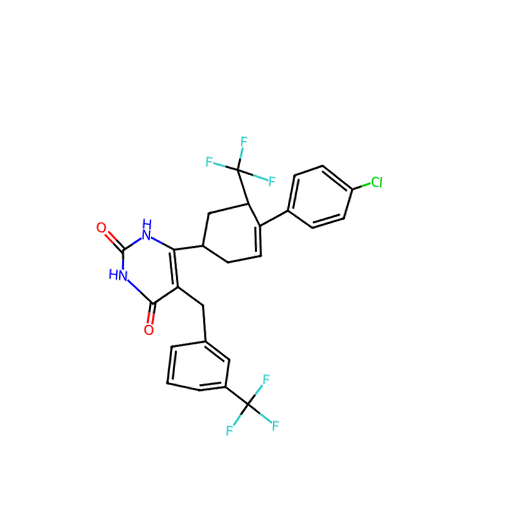 O=c1[nH]c(C2CC=C(c3ccc(Cl)cc3)C(C(F)(F)F)C2)c(Cc2cccc(C(F)(F)F)c2)c(=O)[nH]1